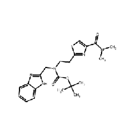 CN(C)C(=O)c1csc(CCN(Cc2nc3ccccc3[nH]2)C(=O)OC(C)(C)C)n1